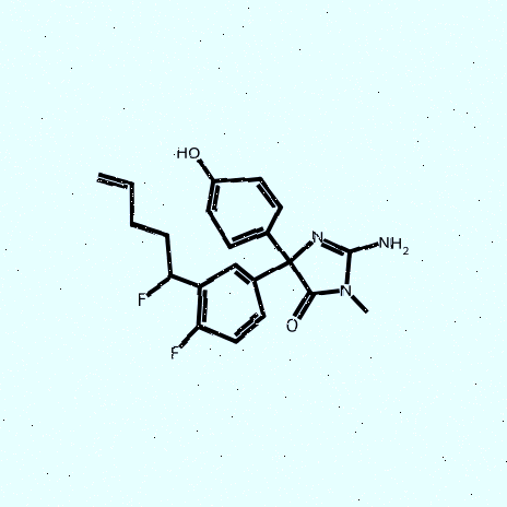 C=CCCC(F)c1cc(C2(c3ccc(O)cc3)N=C(N)N(C)C2=O)ccc1F